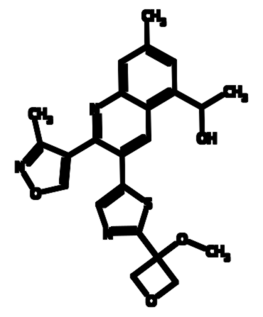 COC1(c2ncc(-c3cc4c(C(C)O)cc(C)cc4nc3-c3conc3C)s2)COC1